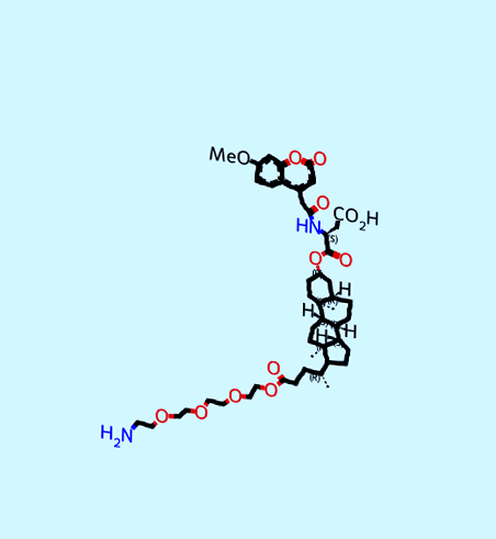 COc1ccc2c(CC(=O)N[C@@H](CC(=O)O)C(=O)O[C@@H]3CC[C@@]4(C)[C@H](CC[C@@H]5[C@@H]4CC[C@]4(C)C([C@H](C)CCC(=O)OCCOCCOCCOCCN)CC[C@@H]54)C3)cc(=O)oc2c1